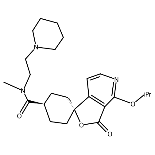 CC(C)Oc1nccc2c1C(=O)O[C@]21CC[C@H](C(=O)N(C)CCN2CCCCC2)CC1